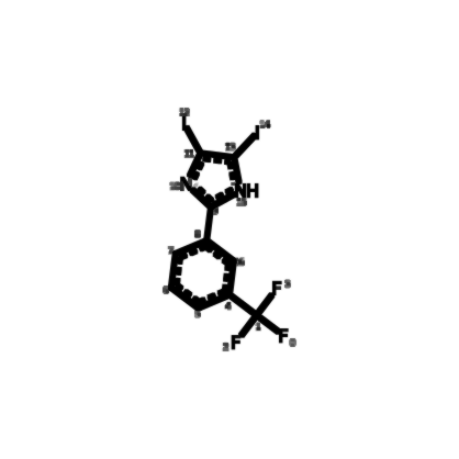 FC(F)(F)c1cccc(-c2nc(I)c(I)[nH]2)c1